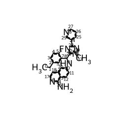 CCc1ccc(F)c(C(Nc2ccc3c(N)nccc3c2)c2nc(-c3cccnc3)nn2C)c1